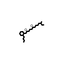 CCCCC1CCCCC1CC(=O)CCCC(=O)CCCCC(C)CC